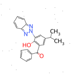 CC(C)c1cc(C(=O)c2ccccc2)c(O)c(-n2nc3ccccc3n2)c1